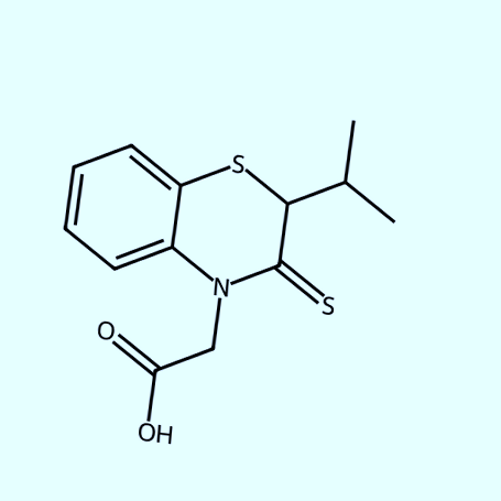 CC(C)C1Sc2ccccc2N(CC(=O)O)C1=S